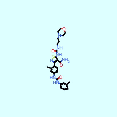 Cc1cccc(NC(=O)Nc2ccc(-c3nsc(NC(=O)NCCCN4CCOCC4)c3C(N)=O)c(C)c2)c1